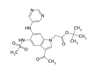 CC(=O)c1cn(CC(=O)OC(C)(C)C)c2cc(Nc3cncnc3)c(NS(C)(=O)=O)cc12